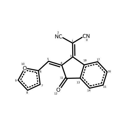 N#CC(C#N)=C1/C(=C/c2ccco2)C(=O)c2ccccc21